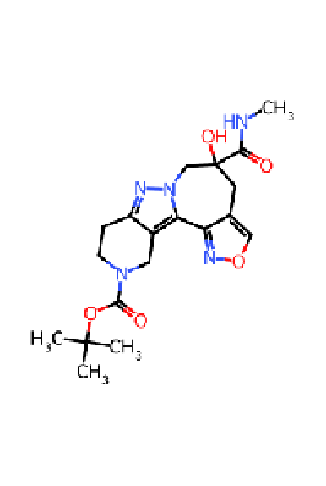 CNC(=O)C1(O)Cc2conc2-c2c3c(nn2C1)CCN(C(=O)OC(C)(C)C)C3